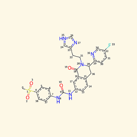 CS(=O)(=O)c1ccc(NC(=O)Nc2ccc3c(c2)C(=O)N(CCc2c[nH]cn2)C(c2ccc(F)cn2)C3)cc1